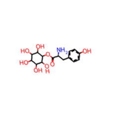 N[C@@H](Cc1ccc(O)cc1)C(=O)OC1C(O)C(O)C(O)C(O)C1O